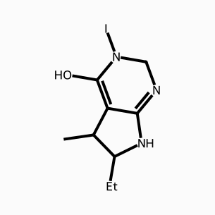 CCC1NC2=NCN(I)C(O)=C2C1C